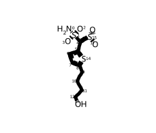 NS(=O)(=O)C(c1ccc(CCCCO)s1)=S(=O)=O